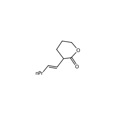 CCCC=CC1CCCOC1=O